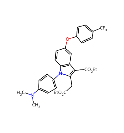 CCOC(=O)Cc1c(C(=O)OCC)c2cc(Oc3ccc(C(F)(F)F)cc3)ccc2n1-c1ccc(N(C)C)cc1